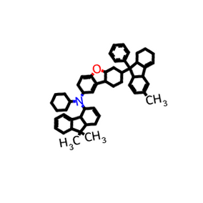 CC1=CC2C3=CCCCC3C(c3ccccc3)(C3CCC4C5=CC(N(C6CCCCC6)C6C=CCC7C6C6=CC=CCC6C7(C)C)CC=C5OC4C3)C2C=C1